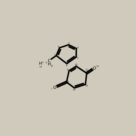 Cc1ccccc1.O=C1C=CC(=O)C=C1.[H+]